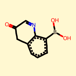 O=C1C=Nc2c(cccc2B(O)O)C1